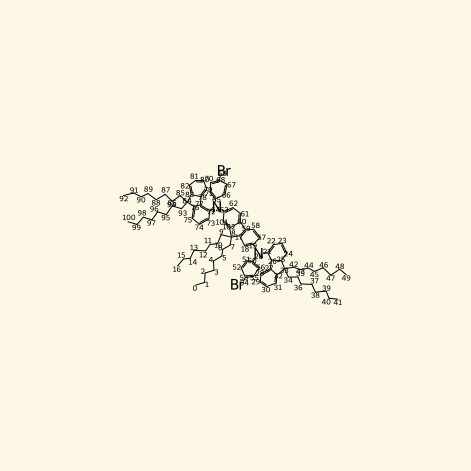 CCCCCCCCC1(CCCCCCCC)c2cc(N(C3=CC=CC4C3c3ccccc3C4(CCCCCCCC)CCCCCCCC)c3ccc(Br)cc3)ccc2-c2ccc(N(c3ccc(Br)cc3)c3cccc4c3-c3ccccc3C4(CCCCCCCC)CCCCCCCC)cc21